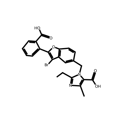 CCc1nc(C)c(C(=O)O)n1Cc1ccc2oc(-c3ccccc3C(=O)O)c(Br)c2c1